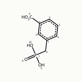 O=C(O)c1cccc(CP(=O)(O)O)c1